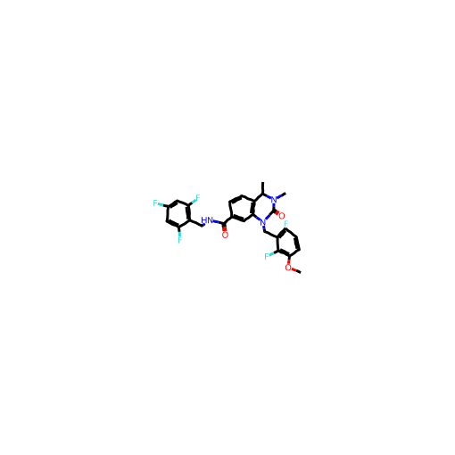 COc1ccc(F)c(CN2C(=O)N(C)C(C)c3ccc(C(=O)NCc4c(F)cc(F)cc4F)cc32)c1F